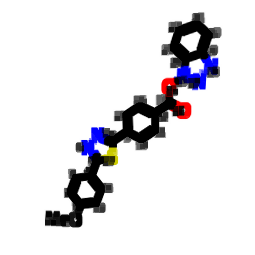 COc1ccc(-c2nnc(-c3ccc(C(=O)On4nnc5ccccc54)cc3)s2)cc1